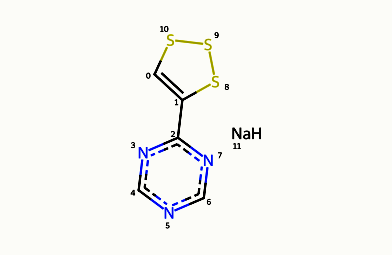 C1=C(c2ncncn2)SSS1.[NaH]